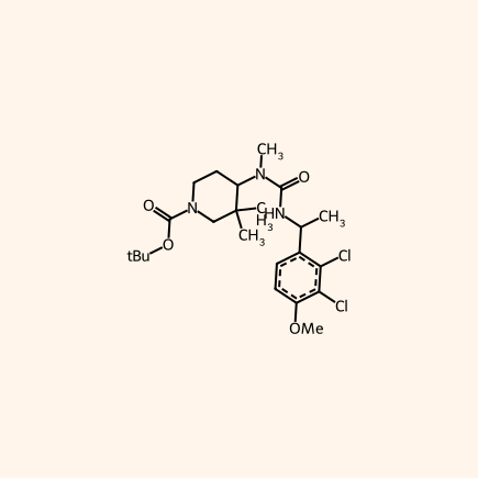 COc1ccc(C(C)NC(=O)N(C)C2CCN(C(=O)OC(C)(C)C)CC2(C)C)c(Cl)c1Cl